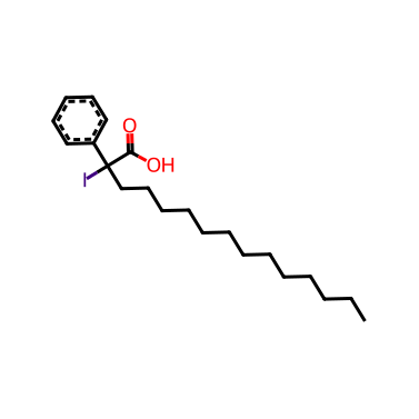 CCCCCCCCCCCCCC(I)(C(=O)O)c1ccccc1